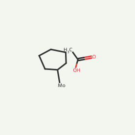 CC(=O)O.[Mo][CH]1CCCCC1